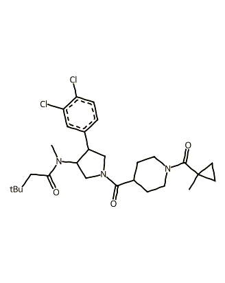 CN(C(=O)CC(C)(C)C)C1CN(C(=O)C2CCN(C(=O)C3(C)CC3)CC2)CC1c1ccc(Cl)c(Cl)c1